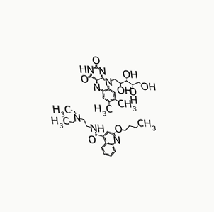 CCCCOc1cc(C(=O)NCCN(CC)CC)c2ccccc2n1.Cc1cc2nc3c(=O)[nH]c(=O)nc-3n(C[C@H](O)[C@H](O)[C@H](O)CO)c2cc1C